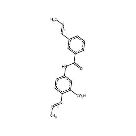 C/N=N/c1cccc(C(=O)Nc2ccc(/N=N/C)c(C(=O)O)c2)c1